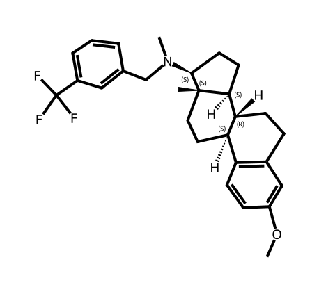 COc1ccc2c(c1)CC[C@@H]1[C@@H]2CC[C@]2(C)[C@@H](N(C)Cc3cccc(C(F)(F)F)c3)CC[C@@H]12